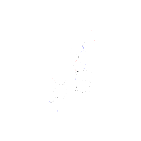 COc1cc(C(=N)N)ccc1CNC(=O)[C@]1(C2CCCCC2)CCCN1C(=O)[C@H](C)N=CC(=O)O